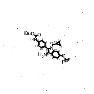 CC(C)COC(=O)Nc1ccc(-c2c(N)c3ccc(OC(F)F)cc3n2CC2CC2)cc1